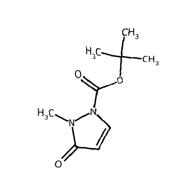 Cn1c(=O)ccn1C(=O)OC(C)(C)C